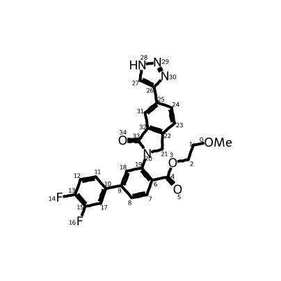 COCCOC(=O)c1ccc(-c2ccc(F)c(F)c2)cc1N1Cc2ccc(-c3c[nH]nn3)cc2C1=O